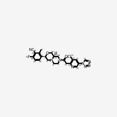 Cc1c([C@@H]2CN3CCN(C(=O)Cc4ncc(-n5cnnn5)cc4Cl)C[C@@H]3CO2)ccc(F)c1C#N